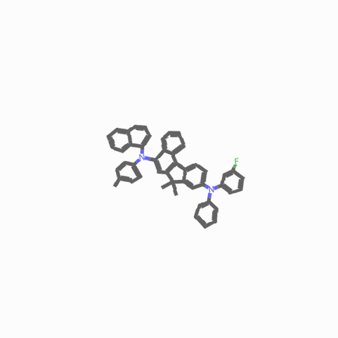 Cc1ccc(N(c2cccc3ccccc23)c2cc3c(c4ccccc24)-c2ccc(N(c4ccccc4)c4cccc(F)c4)cc2C3(C)C)cc1